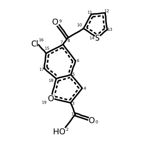 O=C(O)c1cc2cc(C(=O)c3cccs3)c(Cl)cc2o1